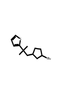 CC(C)(CC1CCC(C(C)(C)C)C1)c1cccs1